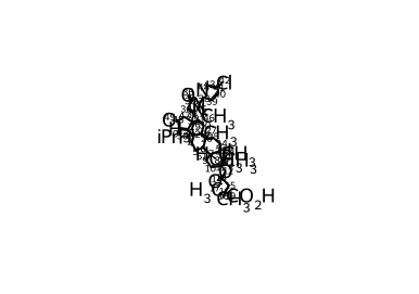 CC(C)C1=C2[C@H]3CC[C@@H]4[C@@]5(C)CC[C@H](OC(=O)CC(C)(C)C(=O)O)C(C)(C)[C@@H]5CC[C@@]4(C)[C@]3(C)CC[C@@]2(c2cc(=O)n(-c3ccc(Cl)cn3)n2C)CC1=O